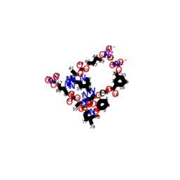 COc1ccccc1Oc1c(OCCOC(=O)c2cccc(CO[N+](=O)[O-])c2)nc(-c2ccnc(-c3nnnn3C(C)OC(=O)OCCCCO[N+](=O)[O-])c2)nc1N(C(C)OC(=O)OCCCCO[N+](=O)[O-])S(=O)(=O)c1ccc(C)cn1